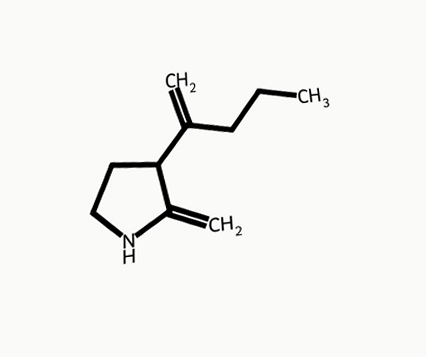 C=C(CCC)C1CCNC1=C